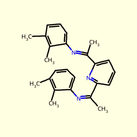 CC(=Nc1cccc(C)c1C)c1cccc(C(C)=Nc2cccc(C)c2C)n1